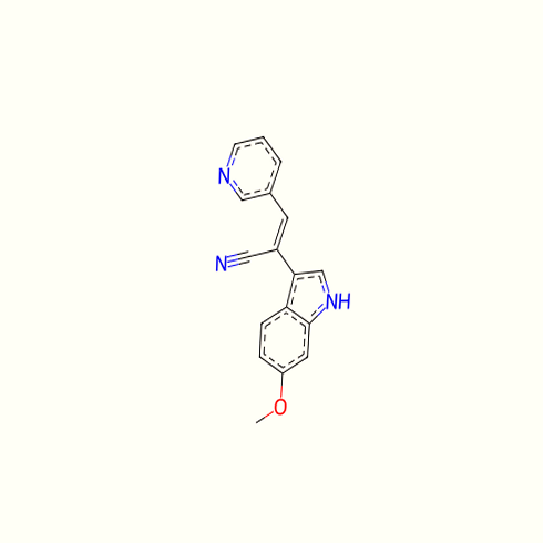 COc1ccc2c(C(C#N)=Cc3cccnc3)c[nH]c2c1